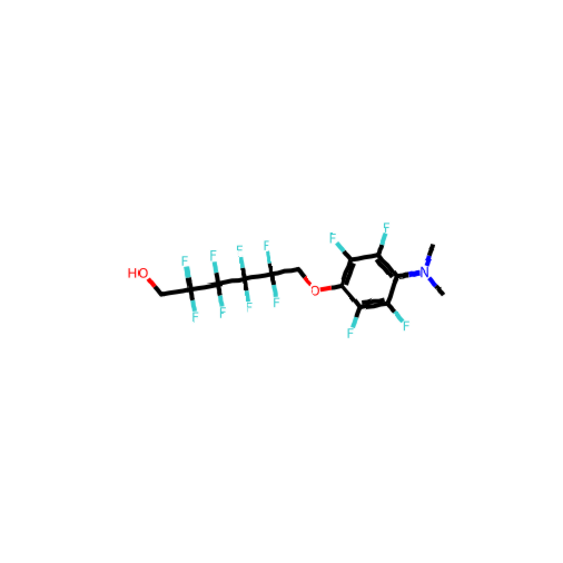 CN(C)c1c(F)c(F)c(OCC(F)(F)C(F)(F)C(F)(F)C(F)(F)CO)c(F)c1F